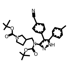 Cc1ccc(-c2[nH]nc(N(CC3CCN(C(=O)OC(C)(C)C)C3)C(=O)OC(C)(C)C)c2-c2ccc(C#N)cc2)cc1